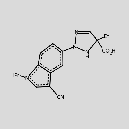 CCC1(C(=O)O)C=NN(c2ccc3c(c2)c(C#N)cn3C(C)C)N1